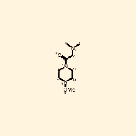 CON1CCN(C(=O)CN(C)C)CC1